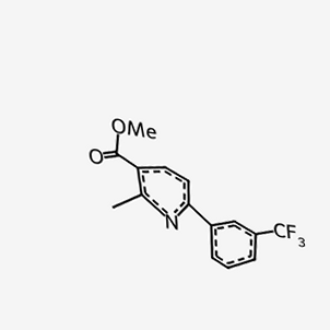 COC(=O)c1ccc(-c2cccc(C(F)(F)F)c2)nc1C